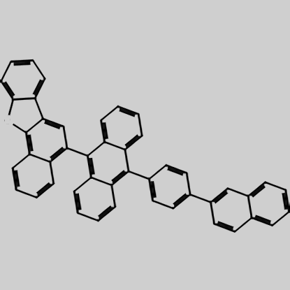 c1ccc2cc(-c3ccc(-c4c5ccccc5c(-c5cc6c7ccccc7oc6c6ccccc56)c5ccccc45)cc3)ccc2c1